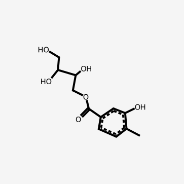 Cc1ccc(C(=O)OCC(O)C(O)CO)cc1O